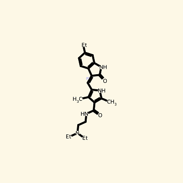 CCc1ccc2c(c1)NC(=O)/C2=C\c1[nH]c(C)c(C(=O)NCCN(CC)CC)c1C